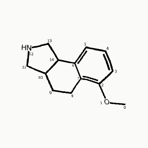 COc1cccc2c1CCC1CNCC21